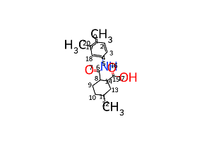 Cc1ccc(NC(=O)C2CCC(C)CC2C(=O)O)cc1C